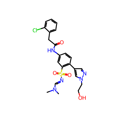 CN(C)C=NS(=O)(=O)c1cc(NC(=O)Cc2ccccc2Cl)ccc1-c1cnn(CCO)c1